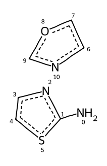 Nc1nccs1.c1cocn1